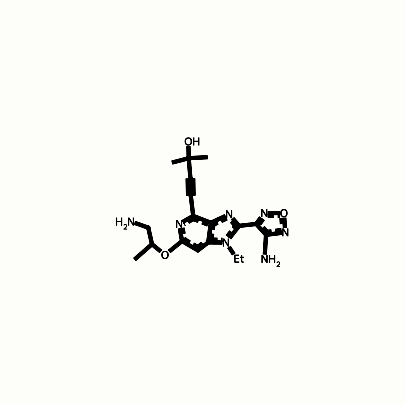 CCn1c(-c2nonc2N)nc2c(C#CC(C)(C)O)nc(OC(C)CN)cc21